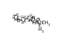 CCC(C)NC(=O)c1cn2c(n1)CCC(c1ccc(Oc3ccccc3)cc1)C2